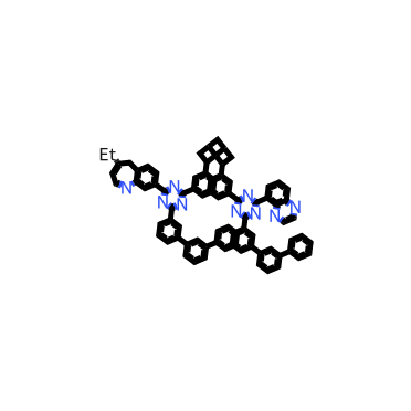 CCC1=CC=Nc2cc(-c3nc(-c4cccc(-c5cccc(-c6ccccc6)c5)c4)nc(-c4cccc(C5CC6CC7CC(c8cccc(-c9nc(-c%10cccc(-c%11cccc(-c%12ccccc%12)c%11)c%10)nc(-c%10cccc%11nccnc%10%11)n9)c8)C675)c4)n3)ccc2C1